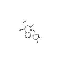 Cc1ccc(CN2C(=O)CC(CO)=C(Cl)c3ccccc32)cc1F